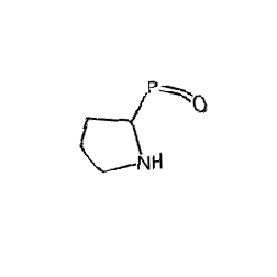 O=PC1CCCN1